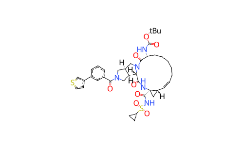 CC(C)(C)OC(=O)N[C@@H]1CCCCC/C=C\[C@@H]2C[C@@]2(C(=O)NS(=O)(=O)C2CC2)NC(=O)[C@@H]2[C@H]3CN(C(=O)c4cccc(-c5ccsc5)c4)C[C@H]3CN2C1=O